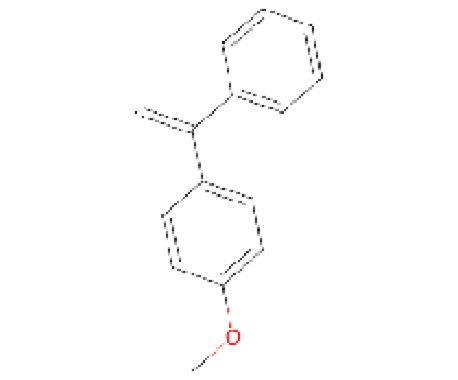 [CH]=C(c1ccccc1)c1ccc(OC)cc1